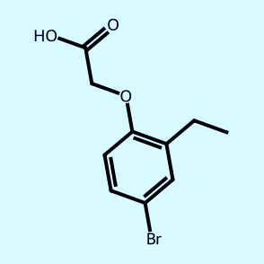 CCc1cc(Br)ccc1OCC(=O)O